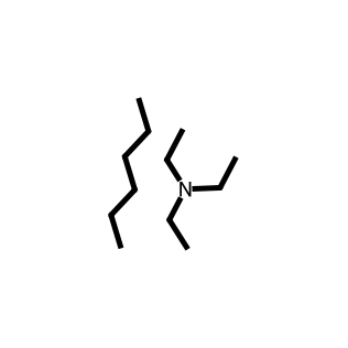 CCCCCC.CCN(CC)CC